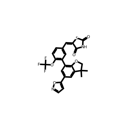 CC1(C)COc2c(-c3cc(C=C4SC(=O)NC4=O)ccc3OC(F)(F)F)cc(-c3ccno3)cc21